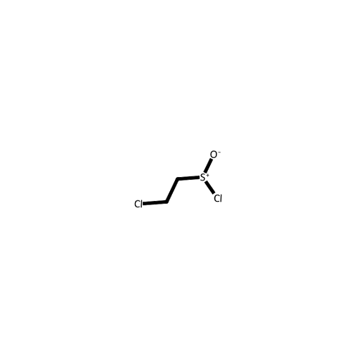 [O-][S+](Cl)CCCl